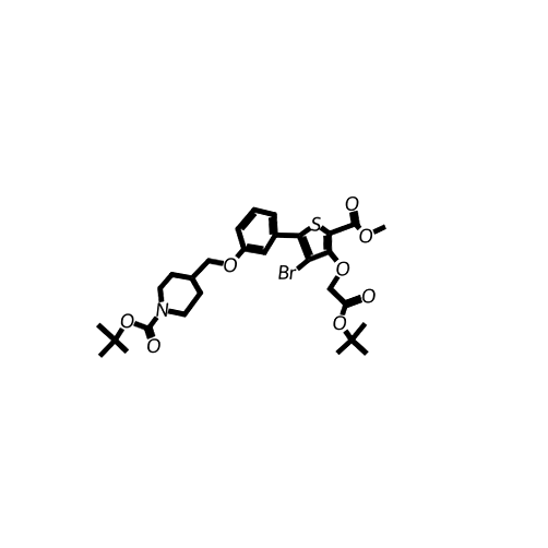 COC(=O)c1sc(-c2cccc(OCC3CCN(C(=O)OC(C)(C)C)CC3)c2)c(Br)c1OCC(=O)OC(C)(C)C